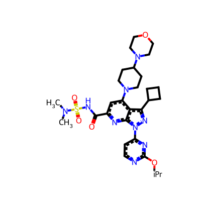 CC(C)Oc1nccc(-n2nc(C3CCC3)c3c(N4CCC(N5CCOCC5)CC4)cc(C(=O)NS(=O)(=O)N(C)C)nc32)n1